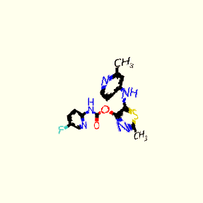 Cc1cc(Nc2sc(C)nc2OC(=O)Nc2ccc(F)cn2)ccn1